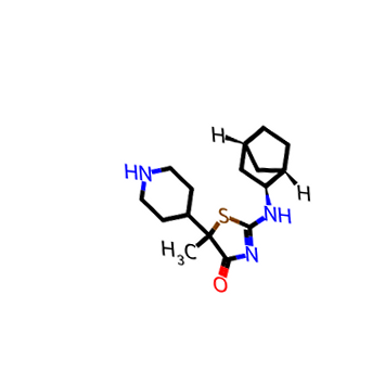 CC1(C2CCNCC2)SC(N[C@H]2C[C@@H]3CC[C@H]2C3)=NC1=O